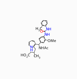 COc1cc(C(NC(C)=O)C2=C(CC(C)CC(=O)O)NC=CC=C2)ccc1NC(=O)Nc1ccccc1C